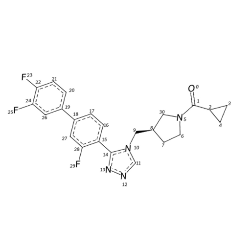 O=C(C1CC1)N1CC[C@@H](Cn2cnnc2-c2ccc(-c3ccc(F)c(F)c3)cc2F)C1